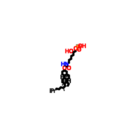 CC(C)CCC[C@@H](C)[C@H]1CC[C@H]2[C@@H]3CC=C4C[C@@H](OC(=O)NCCCCCC(O)COP(C)(=O)O)CC[C@]4(C)[C@H]3CC[C@]12C